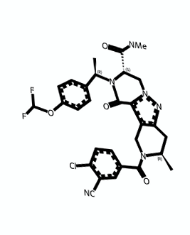 CNC(=O)[C@@H]1Cn2nc3c(c2C(=O)N1[C@H](C)c1ccc(OC(F)F)cc1)CN(C(=O)c1ccc(Cl)c(C#N)c1)[C@H](C)C3